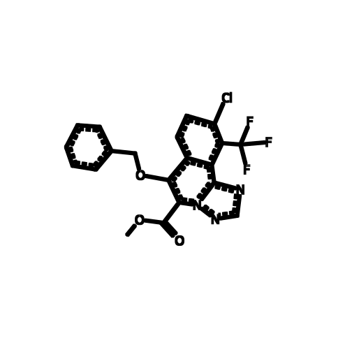 COC(=O)c1c(OCc2ccccc2)c2ccc(Cl)c(C(F)(F)F)c2c2ncnn12